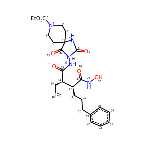 CCOC(=O)N1CCC2(CC1)NC(=O)N(NC(=O)[C@H](CC(C)C)[C@H](CCCc1ccccc1)C(=O)NO)C2=O